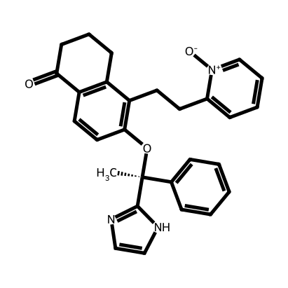 C[C@](Oc1ccc2c(c1CCc1cccc[n+]1[O-])CCCC2=O)(c1ccccc1)c1ncc[nH]1